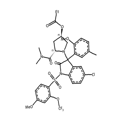 CCC(=O)O[C@@H]1C[C@@H](C(=O)N(C)C)N(C2(c3cc(C)ccc3OC)C(=O)N(S(=O)(=O)c3ccc(OC)cc3OC(F)(F)F)c3ccc(Cl)cc32)C1